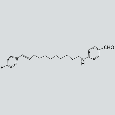 O=Cc1ccc(NCCCCCCCCC/C=C/c2ccc(F)cc2)cc1